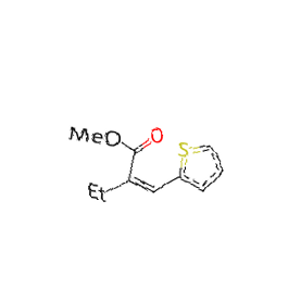 CCC(=Cc1cccs1)C(=O)OC